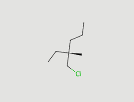 CCC[C@@](C)(CC)CCl